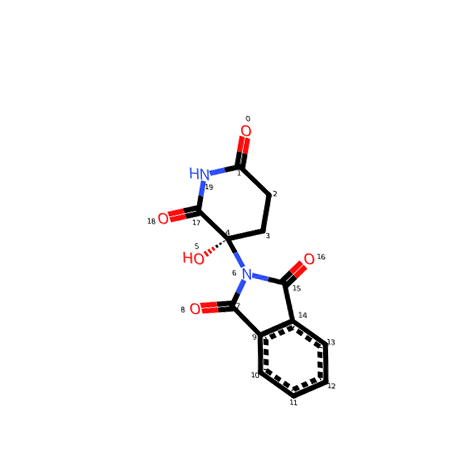 O=C1CC[C@@](O)(N2C(=O)c3ccccc3C2=O)C(=O)N1